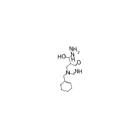 N=CN(CC1=CCCCC1)CC(C=O)C(O)NN